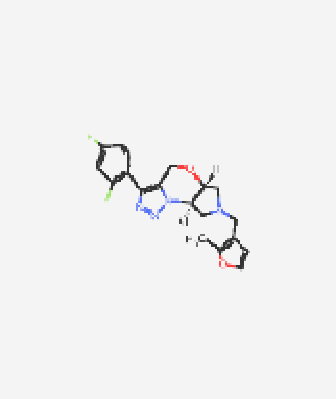 Cc1occc1CN1C[C@@H]2[C@@H](C1)OCc1c(-c3ccc(F)cc3F)nnn12